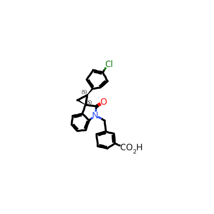 O=C(O)c1cccc(CN2C(=O)[C@]3(C[C@H]3c3ccc(Cl)cc3)c3ccccc32)c1